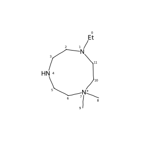 CCN1CCNCC[N+](C)(C)CC1